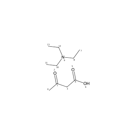 CC(=O)CC(=O)O.CCN(CC)CC